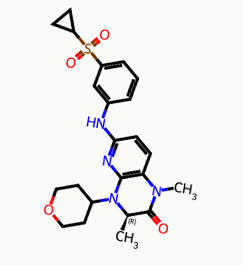 C[C@@H]1C(=O)N(C)c2ccc(Nc3cccc(S(=O)(=O)C4CC4)c3)nc2N1C1CCOCC1